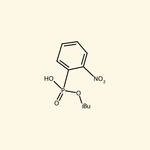 CCC(C)OP(=O)(O)c1ccccc1[N+](=O)[O-]